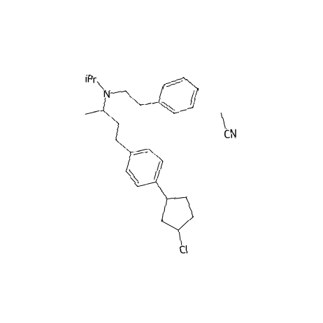 CC#N.CC(C)N(CCc1ccccc1)C(C)CCc1ccc(C2CCC(Cl)C2)cc1